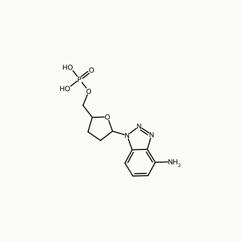 Nc1cccc2c1nnn2C1CCC(COP(=O)(O)O)O1